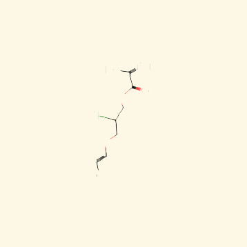 C=C(C)C(=O)OCC(Cl)COC=CC